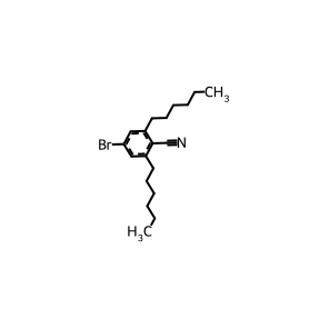 CCCCCCc1cc(Br)cc(CCCCCC)c1C#N